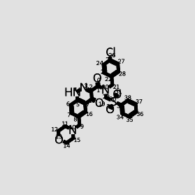 O=C(c1n[nH]c2ccc(CN3CCOCC3)cc2c1=O)N(Cc1ccc(Cl)cc1)CS(=O)(=O)c1ccccc1